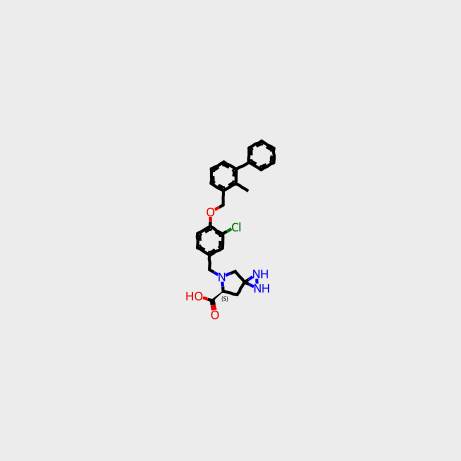 Cc1c(COc2ccc(CN3CC4(C[C@H]3C(=O)O)NN4)cc2Cl)cccc1-c1ccccc1